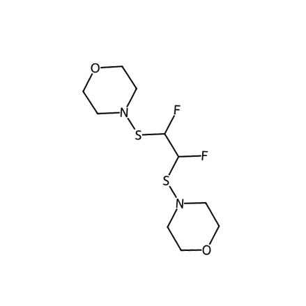 FC(SN1CCOCC1)C(F)SN1CCOCC1